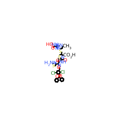 Cc1cc(SCC2=C(C(=O)O)N3C(=O)[C@@H](NC(=O)C(=NOCc4cc(Cl)c5c(c4Cl)OC(c4ccccc4)(c4ccccc4)O5)c4csc(N)n4)[C@H]3SC2)n2nc(C(=O)NO)nc2n1